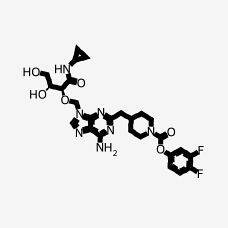 Nc1nc(CC2CCN(C(=O)Oc3ccc(F)c(F)c3)CC2)nc2c1ncn2CO[C@H](C(=O)NC1CC1)[C@H](O)CO